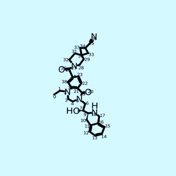 CCN1CCN(C[C@H](O)[C@@H]2Cc3ccccc3CN2)C(=O)c2ccc(C(=O)N3CCC4(CC3)CC(C#N)C4)cc21